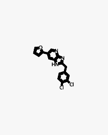 Clc1ccc(Cc2nc3ncc(-c4ccco4)cc3[nH]2)cc1Cl